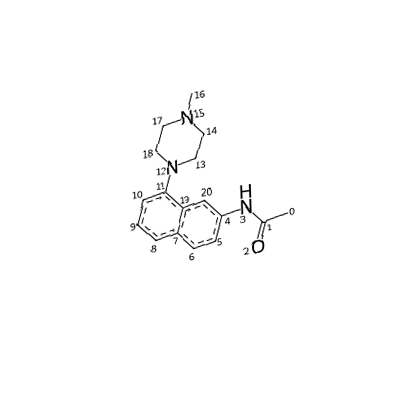 CC(=O)Nc1ccc2cccc(N3CCN(C)CC3)c2c1